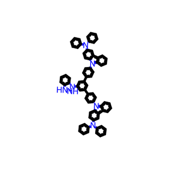 c1ccc(N(c2ccccc2)c2ccc3c(c2)c2ccccc2n3-c2ccc(-c3cc(-c4ccc(-n5c6ccccc6c6cc(N(c7ccccc7)c7ccccc7)ccc65)cc4)cc(N4NNc5ccccc54)c3)cc2)cc1